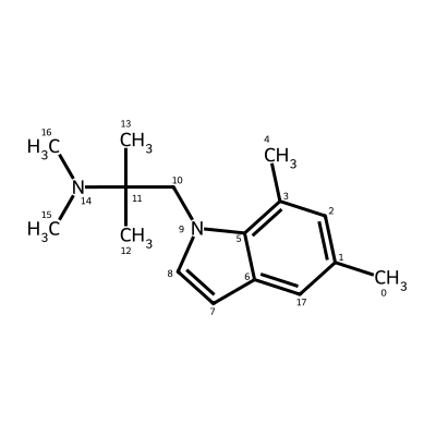 Cc1cc(C)c2c(ccn2CC(C)(C)N(C)C)c1